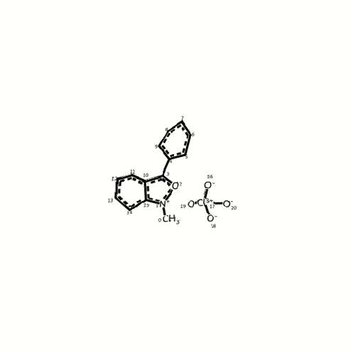 C[n+]1oc(-c2ccccc2)c2ccccc21.[O-][Cl+3]([O-])([O-])[O-]